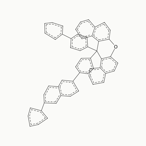 c1ccc(-c2ccc(C3(c4ccc(-c5ccc6cc(-c7ccccc7)ccc6c5)cc4)c4c(ccc5ccccc45)Oc4ccc5ccccc5c43)cc2)cc1